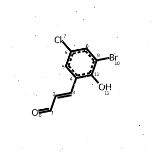 O=CC=Cc1cc(Cl)cc(Br)c1O